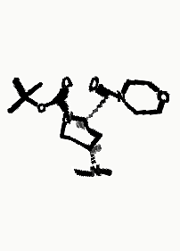 CN(C)[C@H]1C[C@@H](C(=O)N2CCOCC2)N(C(=O)OC(C)(C)C)C1